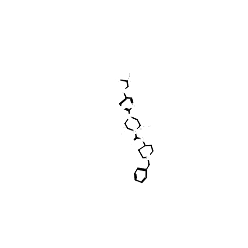 CC[C@H](O)COc1cnc(N2C[C@@H](C)N(C(=O)OC3CCN(Cc4ccccc4)CC3)[C@@H](C)C2)nc1